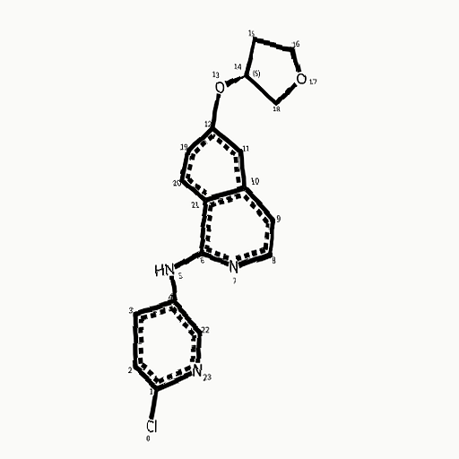 Clc1ccc(Nc2nccc3cc(O[C@H]4CCOC4)ccc23)cn1